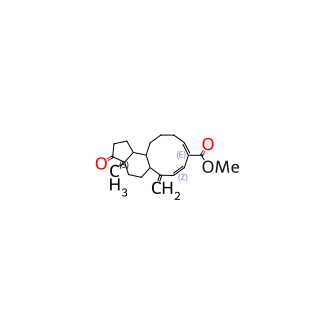 C=C1/C=C\C(C(=O)OC)=C/CCCC2C1CC[C@]1(C)C(=O)CCC21